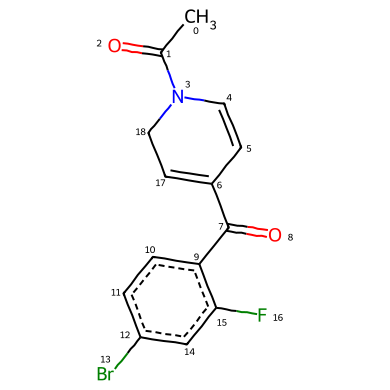 CC(=O)N1C=CC(C(=O)c2ccc(Br)cc2F)=CC1